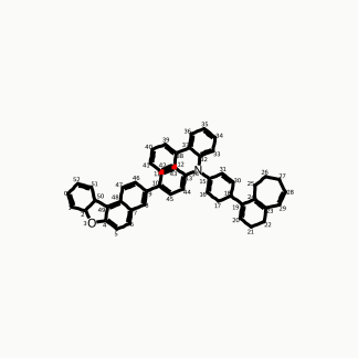 C1=CC2Oc3ccc4cc(-c5ccc(N(C6=CCC(C7=CCCC8=C7CCCC=C8)C=C6)c6ccccc6-c6ccccc6)cc5)ccc4c3C2C=C1